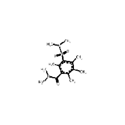 Cc1c(C)c(C(=O)N(C)C)c(C)c(S(=O)(=O)N(C)C)c1C